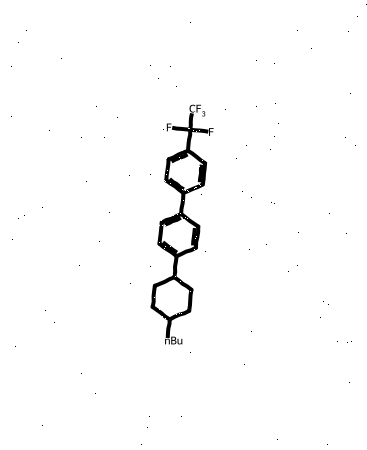 CCCCC1CCC(c2ccc(-c3ccc(C(F)(F)C(F)(F)F)cc3)cc2)CC1